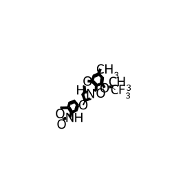 Cc1cc2c(c(O[C@H](C)C(F)(F)F)c1)C(=O)N1C[C@@H](Oc3ccc4c(c3)NC(=O)OC4)C[C@@H]1CO2